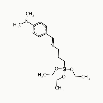 CCO[Si](CCCN=Cc1ccc(N(C)C)cc1)(OCC)OCC